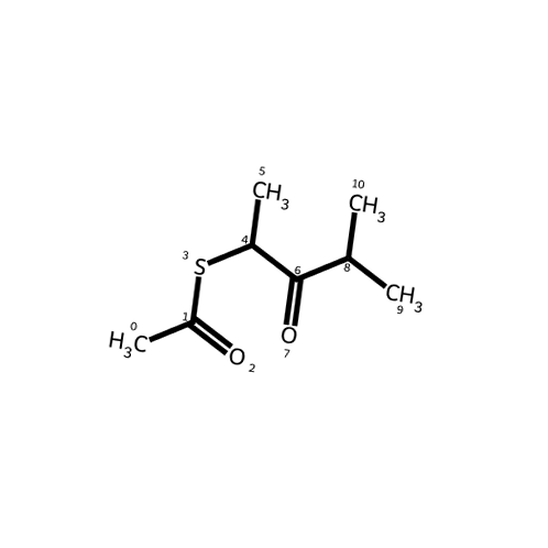 CC(=O)SC(C)C(=O)C(C)C